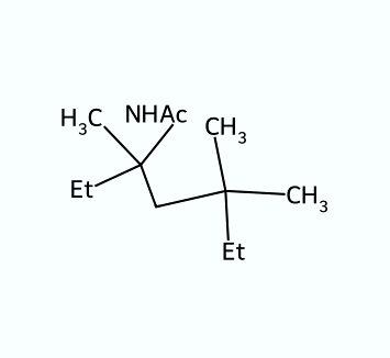 CCC(C)(C)CC(C)(CC)NC(C)=O